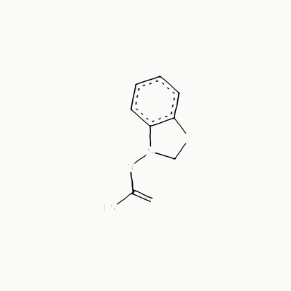 NC(=O)NN1CSc2ccccc21